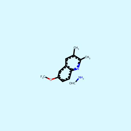 Cc1cc2cc(OC(F)(F)F)ccc2nc1C.NC=O